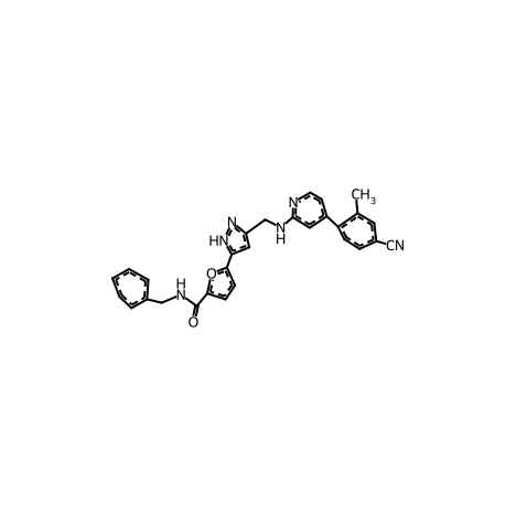 Cc1cc(C#N)ccc1-c1ccnc(NCc2cc(-c3ccc(C(=O)NCc4ccccc4)o3)[nH]n2)c1